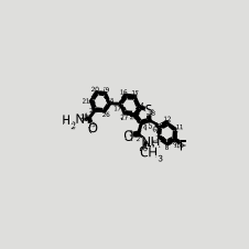 CNC(=O)c1c(-c2ccc(F)cc2)sc2ccc(-c3cccc(C(N)=O)c3)cc12